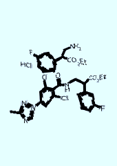 CCOC(=O)C(CN)c1cccc(F)c1.CCOC(=O)C(CNC(=O)c1c(Cl)cc(-n2cnc(C)n2)cc1Cl)c1cccc(F)c1.Cl